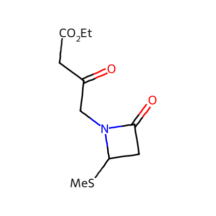 CCOC(=O)CC(=O)CN1C(=O)CC1SC